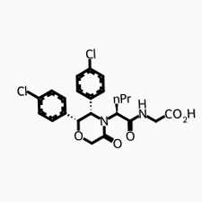 CCC[C@@H](C(=O)NCC(=O)O)N1C(=O)CO[C@H](c2ccc(Cl)cc2)[C@@H]1c1ccc(Cl)cc1